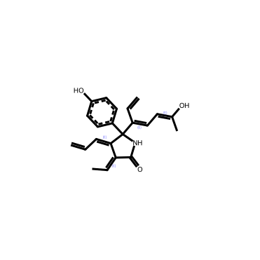 C=C/C=C1\C(=C/C)C(=O)NC1(/C(C=C)=C/C=C(\C)O)c1ccc(O)cc1